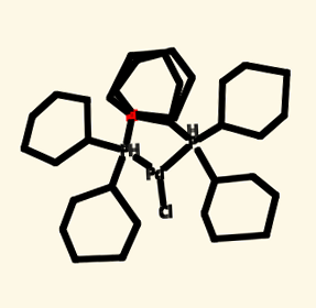 [Cl][Pd]([PH](C1CCCCC1)(C1CCCCC1)C1CCCCC1)[PH](C1CCCCC1)(C1CCCCC1)C1CCCCC1